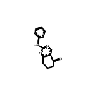 O=C1CCCc2nc(Nc3ccccc3)ncc21